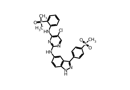 CP(C)(=O)c1ccccc1Nc1nc(Nc2ccc3[nH]nc(-c4ccc(S(C)(=O)=O)cc4)c3c2)ncc1Cl